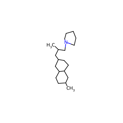 CC1CCC2CC(CC(C)CN3CCCCC3)CCC2C1